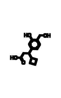 O=C(O)CC(c1ccc(CO)c(O)c1)C1CCC1